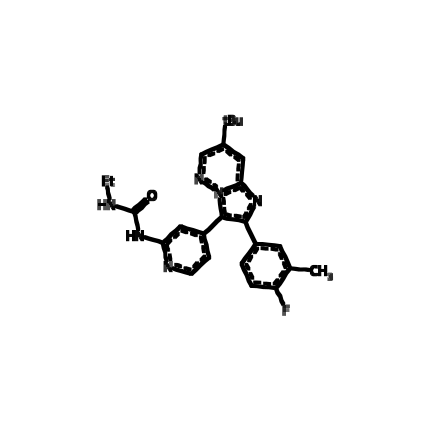 CCNC(=O)Nc1cc(-c2c(-c3ccc(F)c(C)c3)nc3cc(C(C)(C)C)cnn23)ccn1